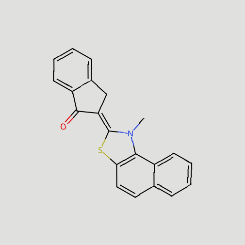 CN1/C(=C2\Cc3ccccc3C2=O)Sc2ccc3ccccc3c21